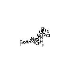 Cc1cc(C(=O)Nc2cc(Cl)cc(S(C)(=O)=O)c2)cn1-c1ncc(N2CC3(C2)CC(F)(F)C3)cn1